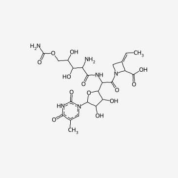 C/C=C1/CN(C(=O)C(NC(=O)C(N)C(O)C(O)COC(N)=O)C2OC(n3cc(C)c(=O)[nH]c3=O)C(O)C2O)C1C(=O)O